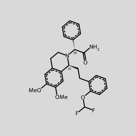 COc1cc2c(cc1OC)[C@H](CCc1ccccc1OC(F)F)N([C@@H](C(N)=O)c1ccccc1)CC2